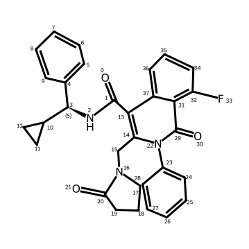 O=C(N[C@H](c1ccccc1)C1CC1)c1c(CN2CCCC2=O)n(-c2ccccc2)c(=O)c2c(F)cccc12